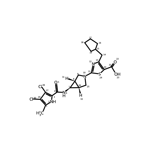 Cc1[nH]c(C(=O)N[C@H]2[C@@H]3CN(c4nc(CC5CCCC5)c(C(=O)O)s4)C[C@@H]32)c(Cl)c1Cl